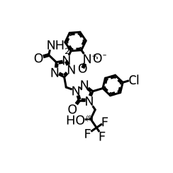 NC(=O)c1nc(Cn2nc(-c3ccc(Cl)cc3)n(C[C@H](O)C(F)(F)F)c2=O)nn1-c1ccccc1[N+](=O)[O-]